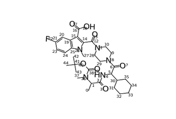 CC(C(=O)NC(C(=O)N1CCN(C(=O)c2c(C(=O)O)c3cc(F)ccc3n2C)CC1)C1CCCCC1)N(C)C(=O)OC(C)(C)C